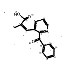 CC(=Cc1ccccc1C(=O)c1ccccc1)C(=O)O